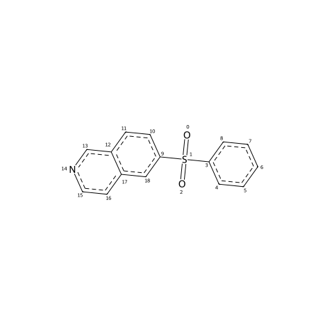 O=S(=O)(c1ccccc1)c1ccc2cnccc2c1